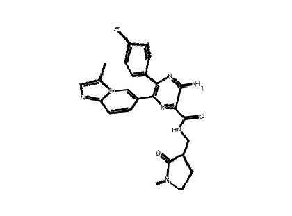 Cc1cnc2ccc(-c3nc(C(=O)NCC4CCN(C)C4=O)c(N)nc3-c3ccc(F)cc3)cn12